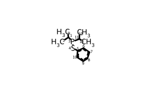 CC(C)P(Sc1ccccc1)C(C)C